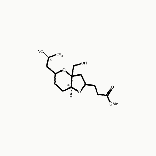 COC(=O)CCC1CC2(CO)OC(C[C@@H](C)C#N)CC[C@@H]2O1